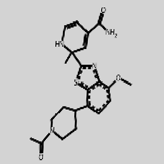 COc1ccc(C2CCN(C(C)=O)CC2)c2sc(C3(C)C=C(C(N)=O)C=CN3)nc12